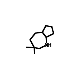 CC1(C)CCC2CCCC2NC1